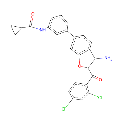 NC1c2ccc(-c3cccc(NC(=O)C4CC4)c3)cc2OC1C(=O)c1ccc(Cl)cc1Cl